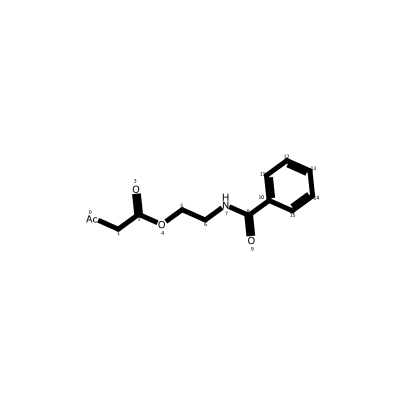 CC(=O)CC(=O)OCCNC(=O)c1ccccc1